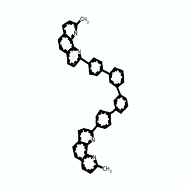 Cc1ccc2ccc3ccc(-c4ccc(-c5cccc(-c6cccc(-c7ccc(-c8ccc9ccc%10ccc(C)nc%10c9n8)cc7)c6)c5)cc4)nc3c2n1